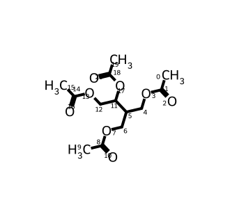 CC(=O)OCC(COC(C)=O)C(COC(C)=O)OC(C)=O